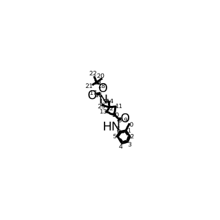 Cc1ccccc1NC(=O)C1CC2(C1)CN(C(=O)OC(C)(C)C)C2